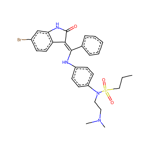 CCCS(=O)(=O)N(CCN(C)C)c1ccc(NC(=C2C(=O)Nc3cc(Br)ccc32)c2ccccc2)cc1